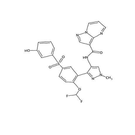 Cn1cc(NC(=O)c2cnn3cccnc23)c(-c2cc(S(=O)(=O)c3cccc(O)c3)ccc2OC(F)F)n1